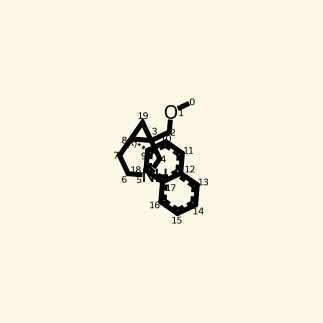 COCC12CNCC[C@@]1(c1ccc3ccccc3c1)C2